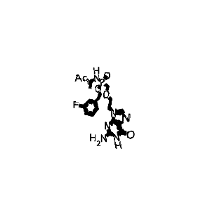 CC(=O)[C@@H](C)NP(=O)(COCCn1cnc2c(=O)[nH]c(N)nc21)OCc1cccc(F)c1